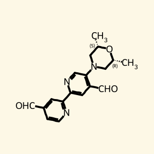 C[C@@H]1CN(c2cnc(-c3cc(C=O)ccn3)cc2C=O)C[C@H](C)O1